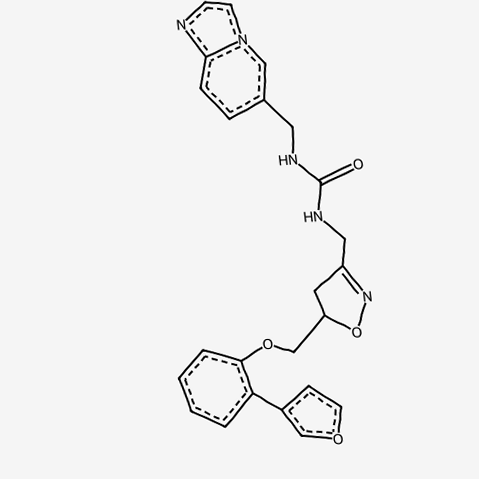 O=C(NCC1=NOC(COc2ccccc2-c2ccoc2)C1)NCc1ccc2nccn2c1